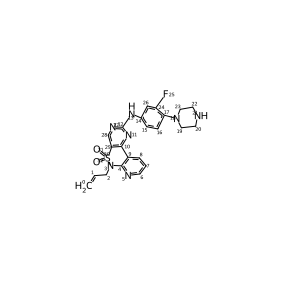 C=CCN1c2ncccc2-c2nc(Nc3ccc(N4CCNCC4)c(F)c3)ncc2S1(=O)=O